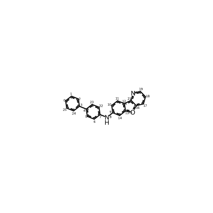 c1ccc(-c2ccc(Nc3ccc4c(c3)oc3cccnc34)cc2)cc1